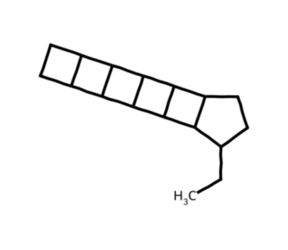 CCC1CCC2C1C1C2C2C3C4CCC4C3C12